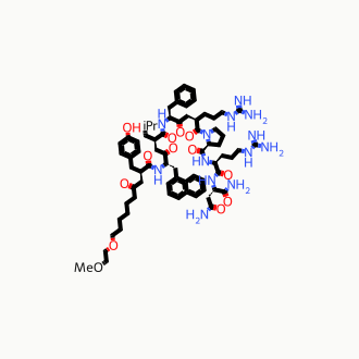 COCCOCCCCCCC(=O)C[C@@H](Cc1ccc(O)cc1)C(=O)N[C@@H](Cc1cccc2ccccc12)C(=O)C[C@@H](CC(C)C)C(=O)N[C@@H](Cc1ccccc1)C(=O)C[C@@H](CCCNC(=N)N)C(=O)N1CCC[C@H]1C(=O)N[C@@H](CCCNC(=N)N)C(=O)N[C@@H](CC(N)=O)C(N)=O